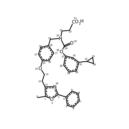 Cc1oc(-c2ccccc2)nc1CCOc1ccc(CN(CCC(=O)O)C(=O)Oc2cccc(C3CC3)c2)cc1